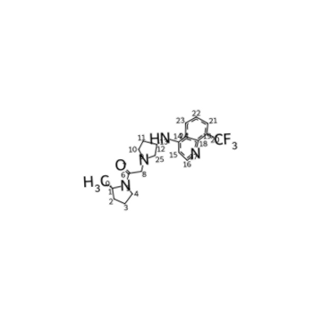 C[C@@H]1CCCN1C(=O)CN1CC[C@H](Nc2ccnc3c(C(F)(F)F)cccc23)C1